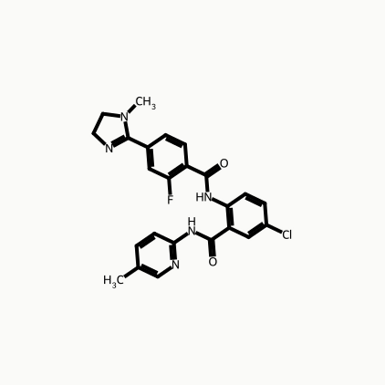 Cc1ccc(NC(=O)c2cc(Cl)ccc2NC(=O)c2ccc(C3=NCCN3C)cc2F)nc1